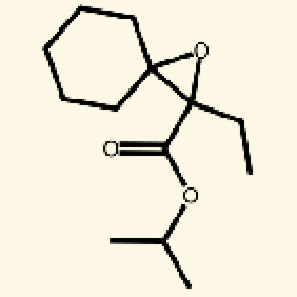 CCC1(C(=O)OC(C)C)OC12CCCCC2